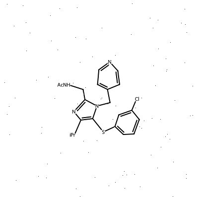 CC(=O)NCc1nc(C(C)C)c(Sc2cccc(Cl)c2)n1Cc1ccncc1